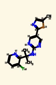 CC(C)(Nc1ncc(-c2ncc(C#N)s2)cn1)c1ncccc1F